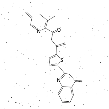 C=C/C=N\C(C(=O)CC(=C)c1ccc(C2=Nc3ccccc3C(=C)C2)s1)=C(C)C